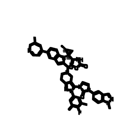 CC1=CC(c2ccc3c(c2)cc(C(=O)N2CCc4nn(-c5cc(C)c(F)c(C)c5)c(-n5ccn(-c6ccc7c(cnn7C)c6)c5=O)c4C2)n3[C@@]2(c3noc(=O)[nH]3)C[C@@H]2C)=CC=NC1